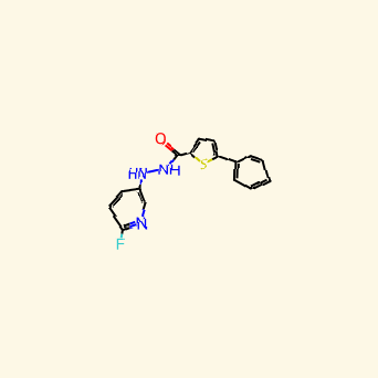 O=C(NNc1ccc(F)nc1)c1ccc(-c2ccccc2)s1